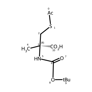 CC(=O)SC[C@](C)(NC(=O)OC(C)(C)C)C(=O)O